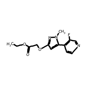 CCOC(=O)COc1cc(-c2ccncc2F)n(C)n1